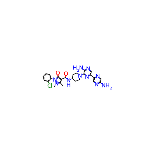 Cc1c(C(=O)NC2CCN(c3nc(-c4cnc(N)cn4)cnc3N)CC2)c(=O)n(-c2ccccc2Cl)n1C